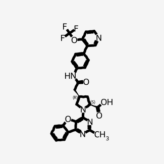 Cc1nc(N2C[C@@H](CC(=O)Nc3ccc(-c4cnccc4OC(F)(F)F)cc3)C[C@H]2C(=O)O)c2oc3ccccc3c2n1